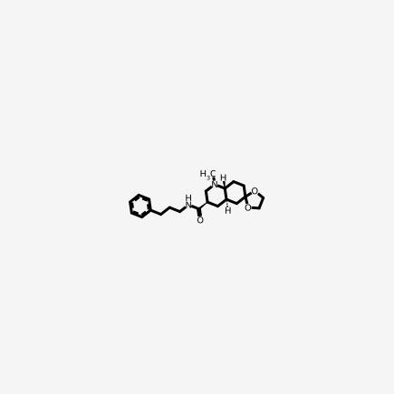 CN1C[C@H](C(=O)NCCCc2ccccc2)C[C@@H]2CC3(CC[C@H]21)OCCO3